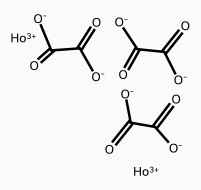 O=C([O-])C(=O)[O-].O=C([O-])C(=O)[O-].O=C([O-])C(=O)[O-].[Ho+3].[Ho+3]